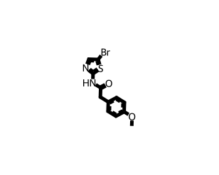 COc1ccc(CC(=O)Nc2ncc(Br)s2)cc1